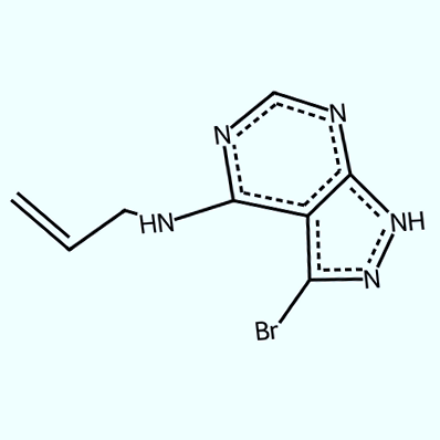 C=CCNc1ncnc2[nH]nc(Br)c12